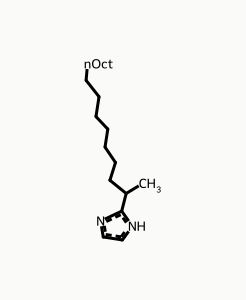 CCCCCCCCCCCCCCCC(C)c1ncc[nH]1